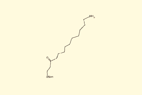 CCCCCCCCCCCC(=O)CCCCCCCCCCN